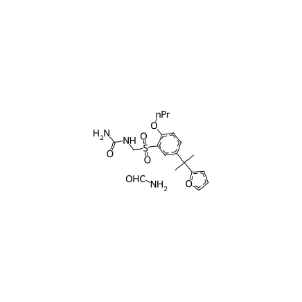 CCCOc1ccc(C(C)(C)c2ccco2)cc1S(=O)(=O)CNC(N)=O.NC=O